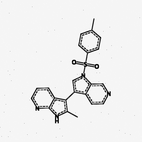 Cc1ccc(S(=O)(=O)n2cc(-c3c(C)[nH]c4ncccc34)c3ccncc32)cc1